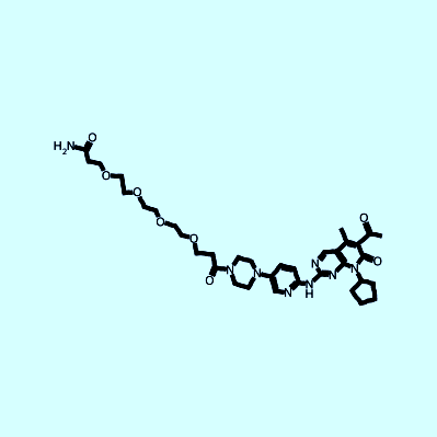 CC(=O)c1c(C)c2cnc(Nc3ccc(N4CCN(C(=O)CCOCCOCCOCCOCCC(N)=O)CC4)cn3)nc2n(C2CCCC2)c1=O